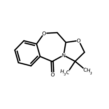 CC1(C)COC2COc3ccccc3C(=O)N21